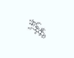 CCCN(C(=O)NCC(C)(C)CN(C)C)C(=O)[C@@H]1C[C@@H]2CC3(CC[C@H]2N(C)C1)OCCO3